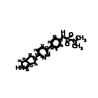 CN(C)S(=O)(=O)Nc1ccc(-c2ccc(N3CC4=CNCC4C3)nn2)cc1